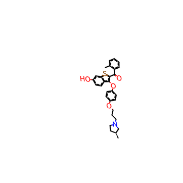 Cc1ccccc1C(=O)c1sc2cc(O)ccc2c1Oc1ccc(OCCCN2CC[C@H](C)C2)cc1